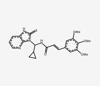 COc1cc(/C=C/C(=O)NC(C2CC2)n2c(=S)[nH]c3cccnc32)cc(OC)c1OC